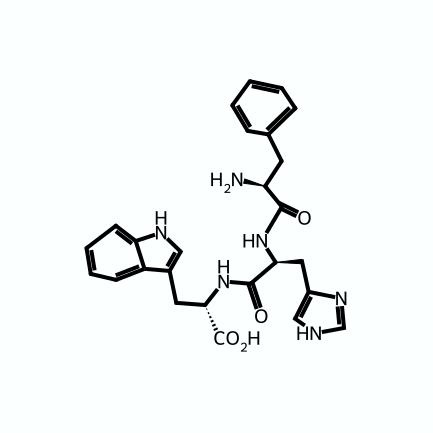 N[C@@H](Cc1ccccc1)C(=O)N[C@@H](Cc1c[nH]cn1)C(=O)N[C@@H](Cc1c[nH]c2ccccc12)C(=O)O